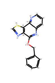 c1ccc(COc2nc3cccnc3c3scnc23)cc1